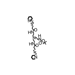 CC(C)(C)OC(=O)NCCN(CCNC(=O)CCSSc1ccccn1)CCNC(=O)CCSSc1ccccn1